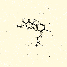 CCCCCCS(=O)(=O)NC(C)(C)c1ccc(F)c(OCC2CC2)c1